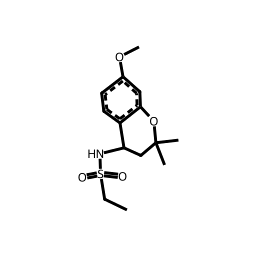 CCS(=O)(=O)NC1CC(C)(C)Oc2cc(OC)ccc21